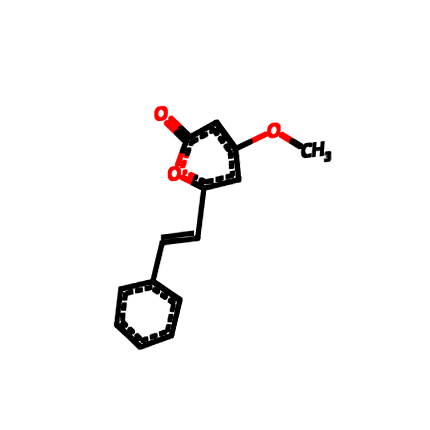 COc1cc(/C=C/c2ccccc2)oc(=O)c1